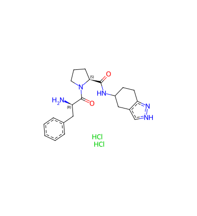 Cl.Cl.N[C@H](Cc1ccccc1)C(=O)N1CCC[C@H]1C(=O)NC1CCc2n[nH]cc2C1